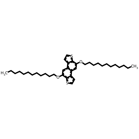 CCCCCCCCCCCCOc1cc2c3ccsc3c(OCCCCCCCCCCCC)cc2c2ccsc12